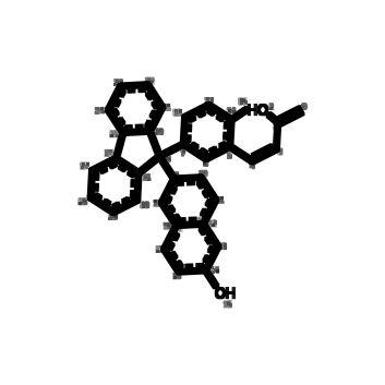 C=C(O)/C=C\c1cc(C2(c3ccc4cc(O)ccc4c3)c3ccccc3-c3ccccc32)ccc1C